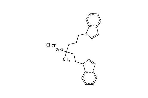 C[C]([Zr+2])(CCCC1C=Cc2ccccc21)CCC1C=Cc2ccccc21.[Cl-].[Cl-]